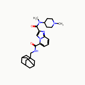 CN1CCC(N(C)C(=O)c2cn3c(C(=O)NCC45CC6CC(CC(C6)C4)C5)cccc3n2)CC1